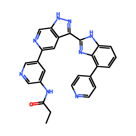 CCC(=O)Nc1cncc(-c2cc3c(-c4nc5c(-c6ccncc6)cccc5[nH]4)n[nH]c3cn2)c1